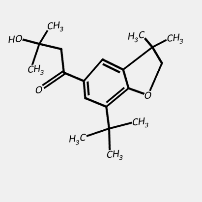 CC(C)(O)CC(=O)c1cc(C(C)(C)C)c2c(c1)C(C)(C)CO2